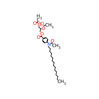 CCCCCCCCCCCCCCCCN(C(C)=O)c1ccc(C(=O)OCC(COC(C)=O)OC(C)=O)cc1